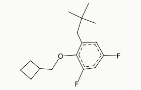 CC(C)(C)Cc1cc(F)cc(F)c1OCC1CCC1